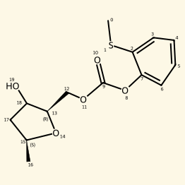 CSc1ccccc1OC(=O)OC[C@H]1O[C@@H](C)CC1O